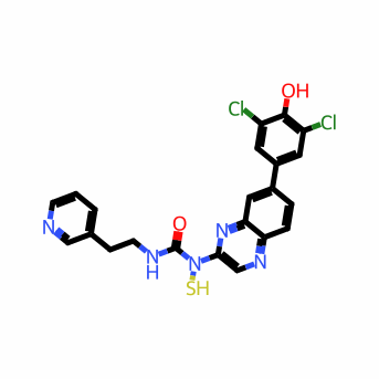 O=C(NCCc1cccnc1)N(S)c1cnc2ccc(-c3cc(Cl)c(O)c(Cl)c3)cc2n1